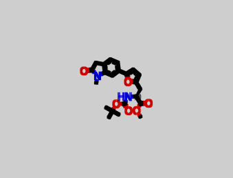 COC(=O)[C@H](Cc1ccc(-c2ccc3c(c2)N(C)C(=O)C3)o1)NC(=O)OC(C)(C)C